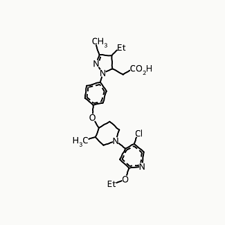 CCOc1cc(N2CCC(Oc3ccc(N4N=C(C)C(CC)C4CC(=O)O)cc3)C(C)C2)c(Cl)cn1